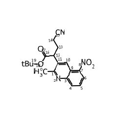 Cc1nc2cccc([N+](=O)[O-])c2cc1C(CCC#N)C(=O)OC(C)(C)C